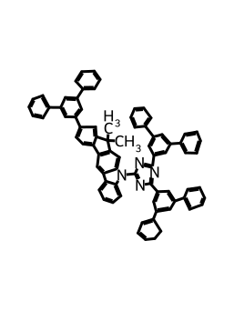 CC1(C)c2cc(-c3cc(-c4ccccc4)cc(-c4ccccc4)c3)ccc2-c2cc3c4ccccc4n(-c4nc(-c5cc(C6=CC=CCC6)cc(-c6ccccc6)c5)nc(-c5cc(-c6ccccc6)cc(-c6ccccc6)c5)n4)c3cc21